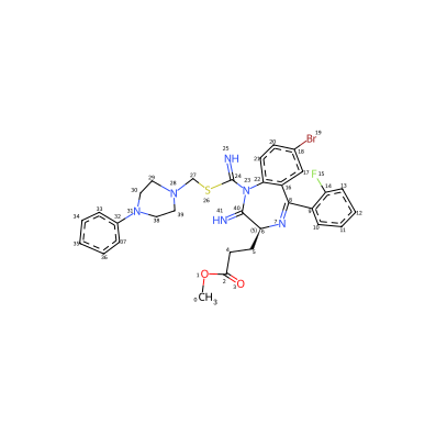 COC(=O)CC[C@@H]1N=C(c2ccccc2F)c2cc(Br)ccc2N(C(=N)SCN2CCN(c3ccccc3)CC2)C1=N